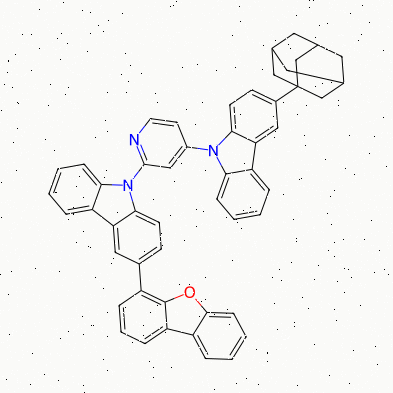 c1ccc2c(c1)oc1c(-c3ccc4c(c3)c3ccccc3n4-c3cc(-n4c5ccccc5c5cc(C67CC8CC(CC(C8)C6)C7)ccc54)ccn3)cccc12